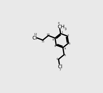 Cc1ccc(CCCl)cc1CCCl